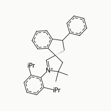 CC(C)c1cccc(C(C)C)c1[N+]1=C[C@]2(CC(c3ccccc3)c3ccccc32)CC1(C)C